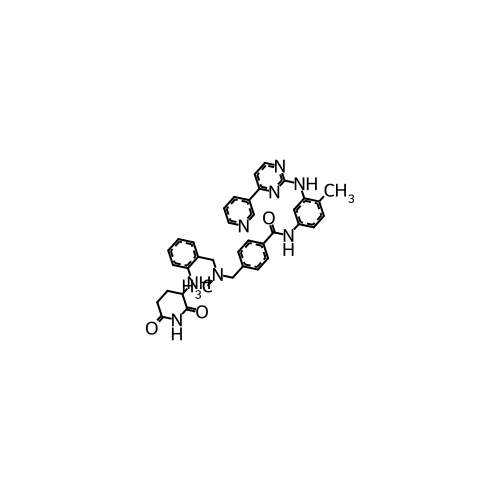 Cc1ccc(NC(=O)c2ccc(CN(C)Cc3ccccc3NC3CCC(=O)NC3=O)cc2)cc1Nc1nccc(-c2cccnc2)n1